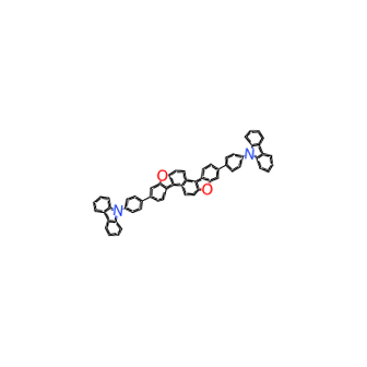 c1ccc2c(c1)c1ccccc1n2-c1ccc(-c2ccc3c(c2)oc2ccc4c(ccc5oc6cc(-c7ccc(-n8c9ccccc9c9ccccc98)cc7)ccc6c54)c23)cc1